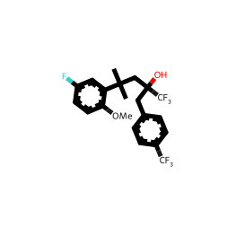 COc1ccc(F)cc1C(C)(C)CC(O)(Cc1ccc(C(F)(F)F)cc1)C(F)(F)F